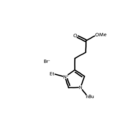 CCCCn1cc(CCC(=O)OC)[n+](CC)c1.[Br-]